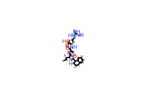 CC[C@H](C)[C@H](NC(=O)C1CCCc2ccccc21)c1nc(C(=O)N[C@@H](CCCNC(=N)N)C(=O)O)co1